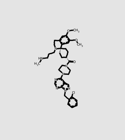 CNCCCN1CCc2cc(OC)c(OC)cc2[C@]12CC[C@@H](C(=O)N1CCN(c3ncnc4c3cnn4Cc3ccccc3Cl)CC1)CC2